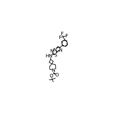 CC(C)(C)OC(=O)N1CCC2(CC1)CC(Nc1nn3cc(-c4cccc(C(F)(F)F)c4)nc3s1)C2